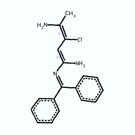 C/C(N)=C(Cl)/C=C(\N)N=C(c1ccccc1)c1ccccc1